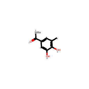 CNC(=O)c1cc(C)c(O)c(O)c1